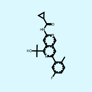 Cc1ccc(F)cc1-c1cc2cnc(NC(=O)C3CC3)cc2c(C(C)(C)O)n1